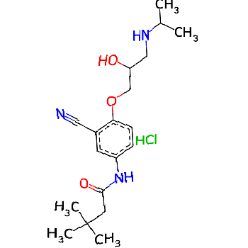 CC(C)NCC(O)COc1ccc(NC(=O)CC(C)(C)C)cc1C#N.Cl